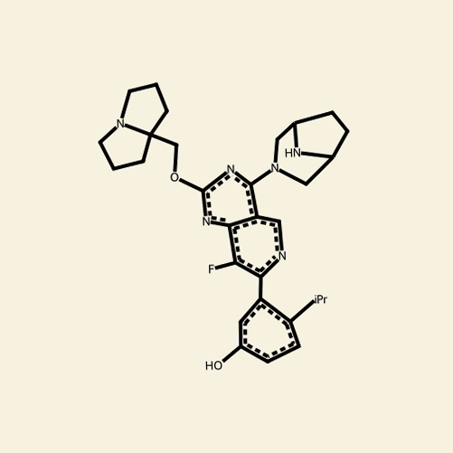 CC(C)c1ccc(O)cc1-c1ncc2c(N3CC4CCC(C3)N4)nc(OCC34CCCN3CCC4)nc2c1F